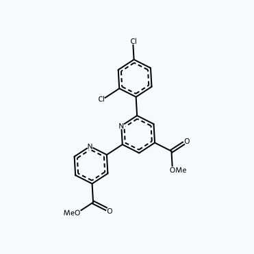 COC(=O)c1ccnc(-c2cc(C(=O)OC)cc(-c3ccc(Cl)cc3Cl)n2)c1